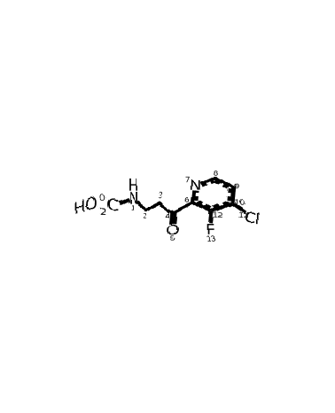 O=C(O)NCCC(=O)c1nccc(Cl)c1F